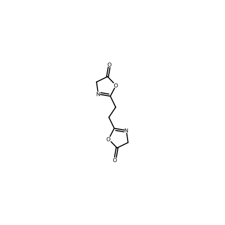 O=C1CN=C(CCC2=NCC(=O)O2)O1